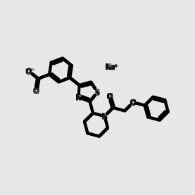 O=C([O-])c1cccc(-c2csc(C3CCCCN3C(=O)COc3ccccc3)n2)c1.[Na+]